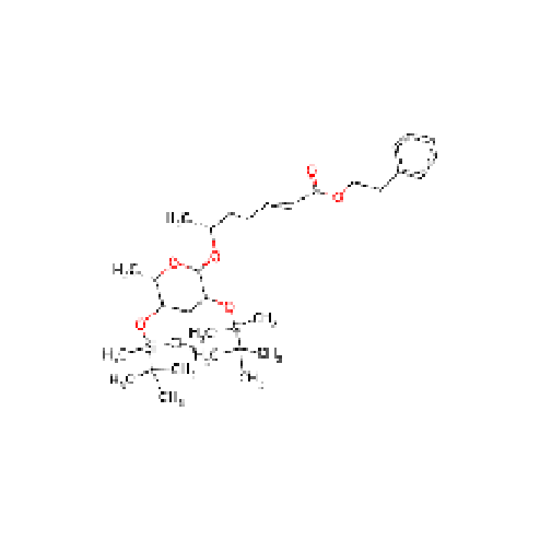 C[C@H](CC/C=C/C(=O)OCCc1ccccc1)O[C@@H]1O[C@@H](C)C(O[Si](C)(C)C(C)(C)C)CC1O[Si](C)(C)C(C)(C)C